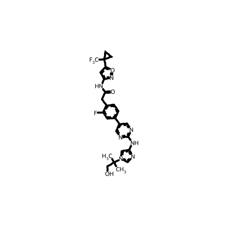 CC(C)(CO)n1cnc(Nc2ncc(-c3ccc(CC(=O)Nc4cc(C5(C(F)(F)F)CC5)on4)c(F)c3)cn2)c1